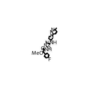 CO[C@H](C(=O)Nc1nnc(N[C@@H]2CCN(c3ccc(C)nn3)C2)s1)c1ccc(F)cc1